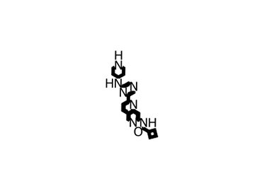 O=C(Nc1cc2nc(-c3cncc(NC4CCNCC4)n3)ccc2cn1)C1CCC1